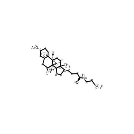 CC(=O)O[C@@H]1CC[C@@]2(C)C(C1)C[C@H](O)[C@H]1[C@@H]3CC[C@H](CCCC(=O)NCCS(=O)(=O)O)[C@@]3(C)CC[C@@H]12